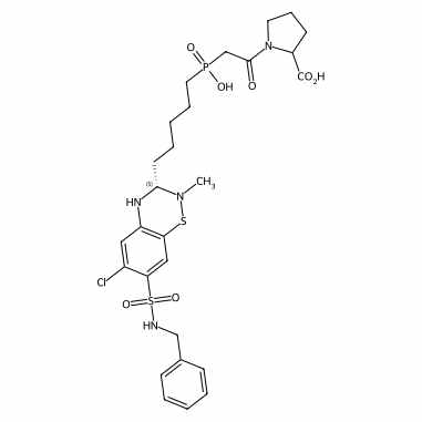 CN1Sc2cc(S(=O)(=O)NCc3ccccc3)c(Cl)cc2N[C@@H]1CCCCCP(=O)(O)CC(=O)N1CCCC1C(=O)O